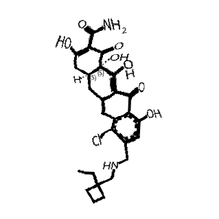 CCC1(CNCc2cc(O)c3c(c2Cl)CC2C[C@H]4CC(O)=C(C(N)=O)C(=O)[C@@]4(O)C(O)=C2C3=O)CCC1